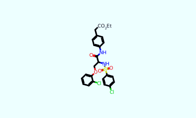 CCOC(=O)Cc1ccc(NC(=O)C(COc2ccccc2Cl)NS(=O)(=O)c2ccc(Cl)cc2)cc1